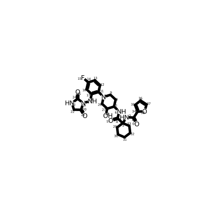 O=C(NC1(C(=O)NC2CCN(c3ccc(F)cc3NN3C(=O)CNC3=O)CC2O)CCCCC1)c1ccco1